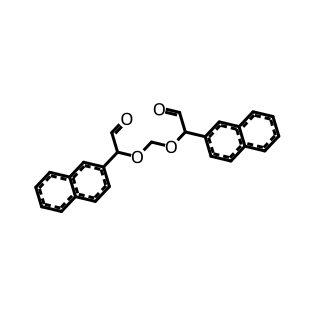 O=CC(OCOC(C=O)c1ccc2ccccc2c1)c1ccc2ccccc2c1